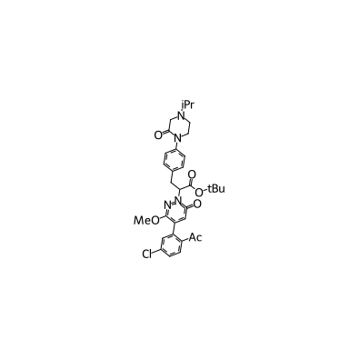 COc1nn(C(Cc2ccc(N3CCN(C(C)C)CC3=O)cc2)C(=O)OC(C)(C)C)c(=O)cc1-c1cc(Cl)ccc1C(C)=O